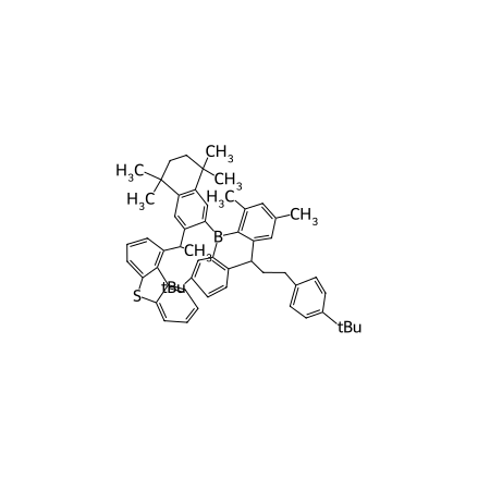 Cc1cc(C)c2c(c1)C(CCc1ccc(C(C)(C)C)cc1)c1ccc(C(C)(C)C)cc1B2c1cc2c(cc1C(C)c1cccc3sc4ccccc4c13)C(C)(C)CCC2(C)C